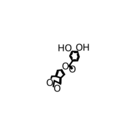 O=C(OC1=CC2=C3CC(OCC2=C1)O3)c1ccc(O)c(O)c1